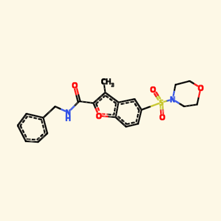 Cc1c(C(=O)NCc2ccccc2)oc2ccc(S(=O)(=O)N3CCOCC3)cc12